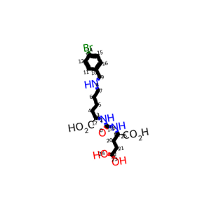 O=C(N[C@@H](CCCCNCc1ccc(Br)cc1)C(=O)O)N[C@@H](CCC(O)O)C(=O)O